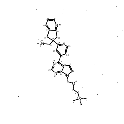 CS(C)(C)CCOCn1ccc2c(-c3cccc(C4(CN)Cc5cccnc5C4)c3)ncnc21